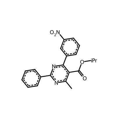 Cc1nc(-c2ccccc2)nc(-c2cccc([N+](=O)[O-])c2)c1C(=O)OC(C)C